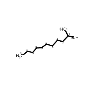 [CH]C([CH])CCCCCCCCC